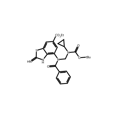 CCOC(=O)c1cc(N(CN(C(=O)OC(C)(C)C)C2CC2)C(=O)c2ccccc2)c2[nH]c(=N)sc2c1